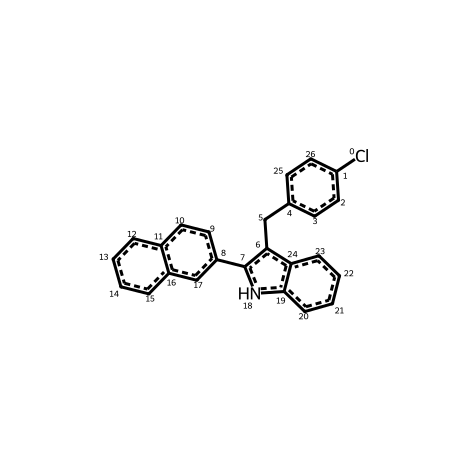 Clc1ccc(Cc2c(-c3ccc4ccccc4c3)[nH]c3ccccc23)cc1